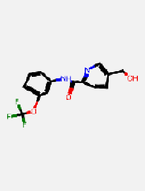 O=C(Nc1cccc(OC(F)(F)F)c1)c1ccc(CO)cn1